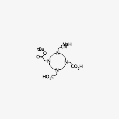 CC(C)(C)OC(=O)CN1CCN(CC#N)CCN(CC(=O)O)CCN(CC(=O)O)CC1.[NaH]